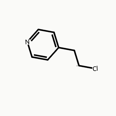 Cl[CH]Cc1ccncc1